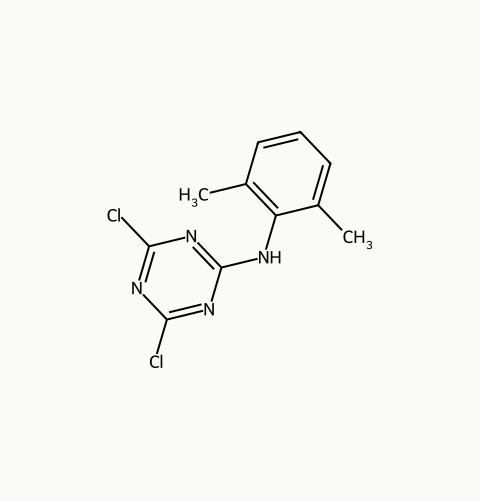 Cc1cccc(C)c1Nc1nc(Cl)nc(Cl)n1